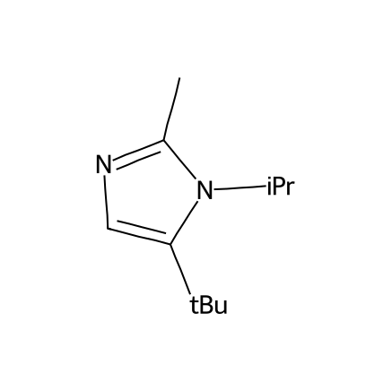 Cc1ncc(C(C)(C)C)n1C(C)C